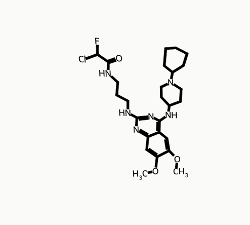 COc1cc2nc(NCCCNC(=O)C(F)Cl)nc(NC3CCN(C4CCCCC4)CC3)c2cc1OC